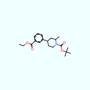 CCOC(=O)c1cccc(C2CCN(C(=O)OC(C)(C)C)C(C)C2)c1